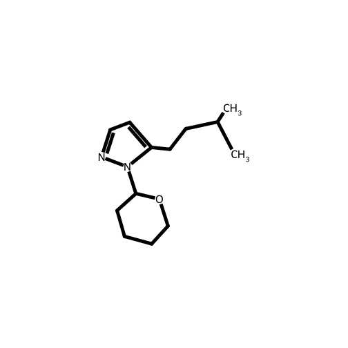 CC(C)CCc1ccnn1C1CCCCO1